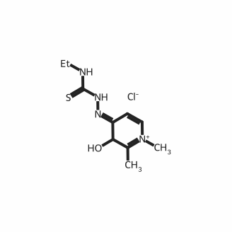 CCNC(=S)NN=C1C=C[N+](C)=C(C)C1O.[Cl-]